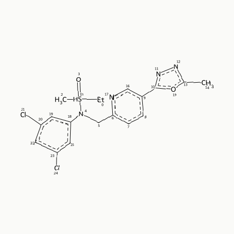 CC[SH](C)(=O)N(Cc1ccc(-c2nnc(C)o2)cn1)c1cc(Cl)cc(Cl)c1